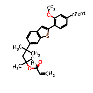 C=CC(=O)OC(C)(C)CC(C)(C)c1ccc2cc(-c3ccc(CCCCC)cc3OC(F)(F)F)sc2c1